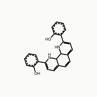 Oc1ccccc1C1=CC=C2C=CC3=CC=C(c4ccccc4O)NC3C2N1